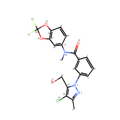 Cc1nn(-c2cccc(C(=O)N(C)c3ccc4c(c3)OC(F)(F)O4)c2)c(CBr)c1Cl